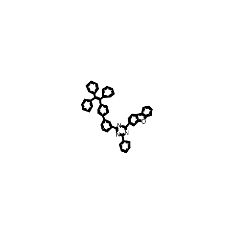 c1ccc(C(=C(c2ccccc2)c2ccc(-c3cccc(-c4nc(-c5ccccc5)nc(-c5ccc6c(c5)oc5ccccc56)n4)c3)cc2)c2ccccc2)cc1